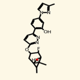 Cc1ccn(-c2ccc(-c3ccc(OC4CC56CNC(C4F)C5(C)C6C)nn3)c(O)c2)n1